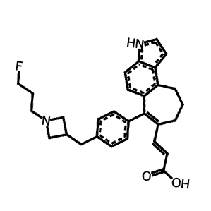 O=C(O)/C=C/C1=C(c2ccc(CC3CN(CCCF)C3)cc2)c2ccc3[nH]ccc3c2CCC1